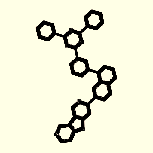 c1ccc(-c2nc(-c3ccccc3)nc(-c3cccc(-c4cccc5ccc(-c6cc7oc8ccncc8c7cn6)cc45)c3)n2)cc1